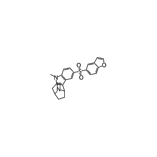 Cn1c2c(c3cc(S(=O)(=O)c4ccc5occc5c4)ccc31)C1CCC(C2)N1